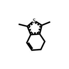 Cc1sc(C)c2c1C=CCC2